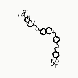 O=[N+]([O-])c1cn2c(n1)O[C@@H](COc1ccc3c(c1)CCN(Cc1ccc(OCc4ccc(OC(F)(F)F)cc4)cc1)C3)CC2